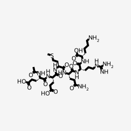 CSCC[C@H](NC(=O)[C@H](CCC(=O)O)NC(=O)[C@H](CCC(=O)O)NC(C)=O)C(=O)N[C@@H](CCC(N)=O)C(=O)N[C@@H](CCCNC(=N)N)C(=O)N[C@@H](CCCCN)C(=O)O